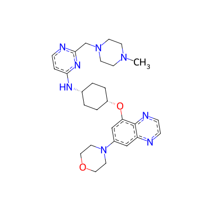 CN1CCN(Cc2nccc(N[C@H]3CC[C@@H](Oc4cc(N5CCOCC5)cc5nccnc45)CC3)n2)CC1